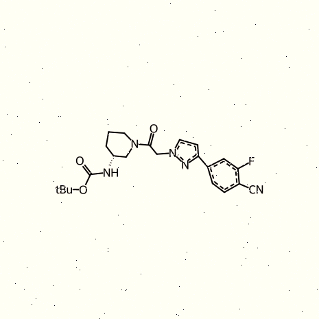 CC(C)(C)OC(=O)N[C@@H]1CCCN(C(=O)Cn2ccc(-c3ccc(C#N)c(F)c3)n2)C1